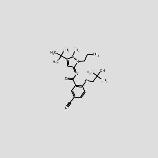 CCCn1/c(=N/C(=O)c2cc(C#N)ccc2OCC(C)(C)O)cc(C(C)(C)C)n1C